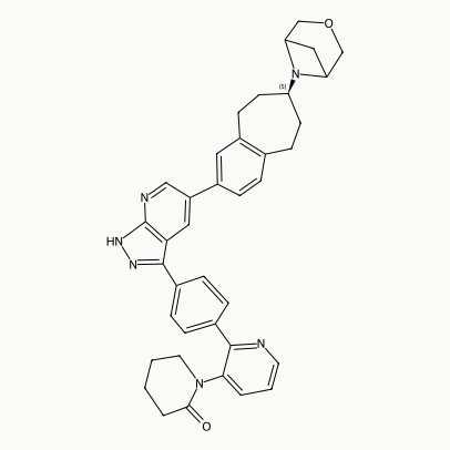 O=C1CCCCN1c1cccnc1-c1ccc(-c2n[nH]c3ncc(-c4ccc5c(c4)CC[C@@H](N4C6COCC4C6)CC5)cc23)cc1